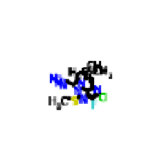 CCSc1nc(N2CCCCC2CCN=[N+]=[N-])c2c(C#C[Si](C)(C)C)nc(Cl)c(F)c2n1